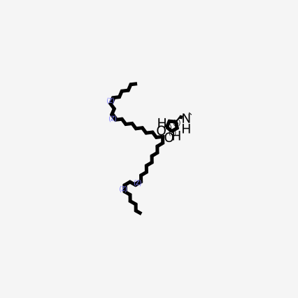 CCCCC/C=C\C/C=C\CCCCCCCCC1(CCCCCCCC/C=C\C/C=C\CCCCC)O[C@H]2C[C@H](CNC)C[C@H]2O1